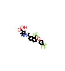 CC(N[C@H]1CC(C(=O)O)C1(C)C)c1ccc2ccc(O[C@H]3CC[C@@H](C(F)(F)F)CC3)c(C(F)(F)F)c2c1